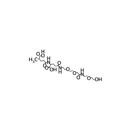 CC(CCC(=O)NC(CCC(=O)NCCOCCOCC(=O)NCCOCCO)C(=O)O)C(=O)O